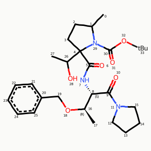 CC1CCC(C(=O)N[C@H](C(=O)N2CCCC2)[C@@H](C)OCc2ccccc2)(C(C)O)N1C(=O)OC(C)(C)C